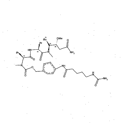 CC[C@H](C)[C@@H]([C@@H](CC(N)=O)OC)N(C)C(=O)[C@@H](NC(=O)[C@H](C(C)C)N(C)C(=O)OCc1ccc(NC(=O)CCCCNC(N)=O)cc1)C(C)C